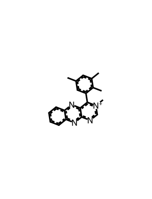 Cc1cc(C)c(C)c(-c2c3nc4ccccc4nc3nc[n+]2C)c1